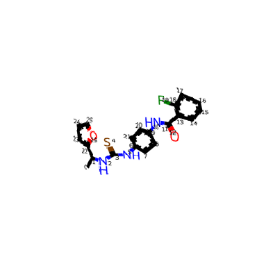 CC(NC(=S)Nc1ccc(NC(=O)c2ccccc2F)cc1)c1ccco1